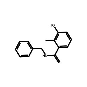 C=C(NCc1ccccc1)c1cccc(O)c1C